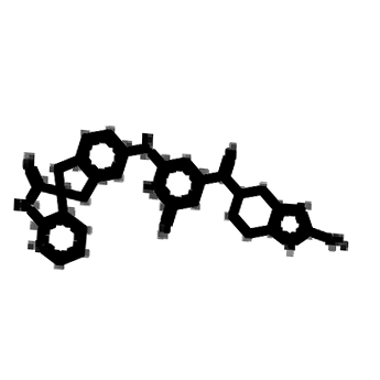 Nc1nc2c(s1)CC(C(=O)c1cc(Nc3ccc4c(c3)CC3(C4)C(=O)Nc4ncccc43)[nH]c(=O)c1)CC2